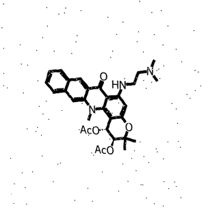 CC(=O)O[C@@H]1c2c(cc(NCCN(C)C)c3c(=O)c4cc5ccccc5cc4n(C)c23)OC(C)(C)[C@H]1OC(C)=O